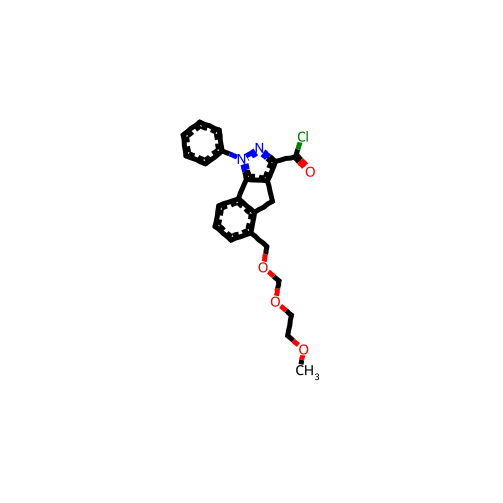 COCCOCOCc1cccc2c1Cc1c(C(=O)Cl)nn(-c3ccccc3)c1-2